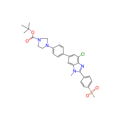 Cn1c(-c2ccc(S(C)(=O)=O)cc2)nc2c(Cl)cc(-c3ccc(N4CCN(C(=O)OC(C)(C)C)CC4)cc3)cc21